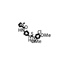 COc1cc(OC)c(NC(=S)Nc2ccc(NC(=O)c3cccn3C)cc2)cc1Cl